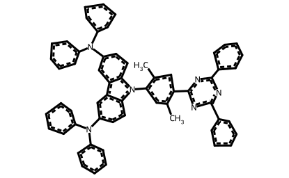 Cc1cc(-n2c3ccc(N(c4ccccc4)c4ccccc4)cc3c3cc(N(c4ccccc4)c4ccccc4)ccc32)c(C)cc1-c1nc(-c2ccccc2)nc(-c2ccccc2)n1